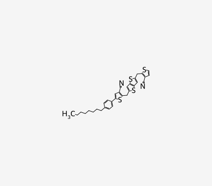 CCCCCCCCc1ccc(-c2cc(C#N)c(Cc3cc4sc(Cc5sccc5C#N)cc4s3)s2)cc1